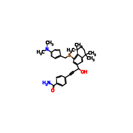 CN(C)c1ccc(CSc2cc(C(O)C#Cc3ccc(C(N)=O)cc3)cc3c2C(C)(C)CCC3(C)C)cc1